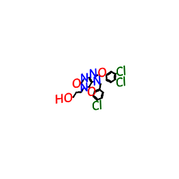 Cn1c(=O)n(CCCO)c(=O)c2c1nc(Oc1ccc(Cl)c(Cl)c1)n2Cc1ccc(Cl)cc1